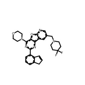 FC1(F)CCN(Cc2cnc3oc4c(N5CCOCC5)nc(-c5cccc6c5C=CC6)nc4c3c2)CC1